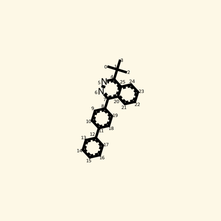 CC(C)(C)c1nnc(-c2ccc(-c3ccccc3)cc2)c2ccccc12